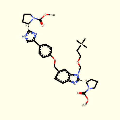 CC(C)(C)OC(=O)N1CCC[C@H]1c1nc(-c2ccc(OCc3ccc4nc([C@@H]5CCCN5C(=O)OC(C)(C)C)n(COCC[Si](C)(C)C)c4c3)cc2)c[nH]1